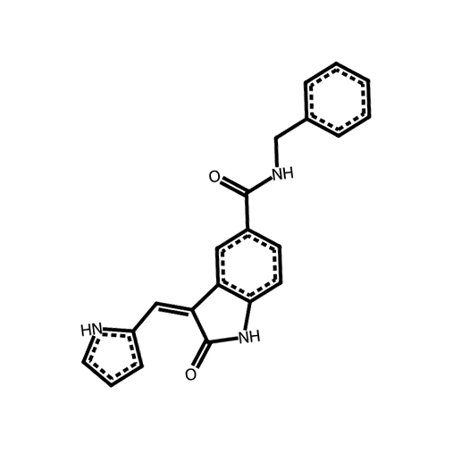 O=C1Nc2ccc(C(=O)NCc3ccccc3)cc2C1=Cc1ccc[nH]1